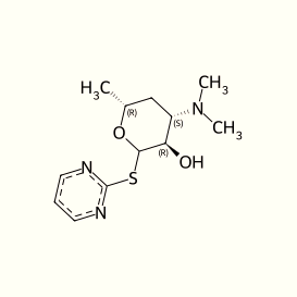 C[C@@H]1C[C@H](N(C)C)[C@@H](O)C(Sc2ncccn2)O1